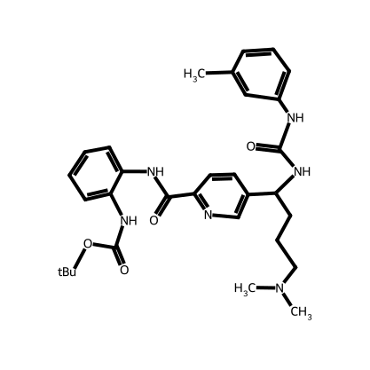 Cc1cccc(NC(=O)NC(CCCN(C)C)c2ccc(C(=O)Nc3ccccc3NC(=O)OC(C)(C)C)nc2)c1